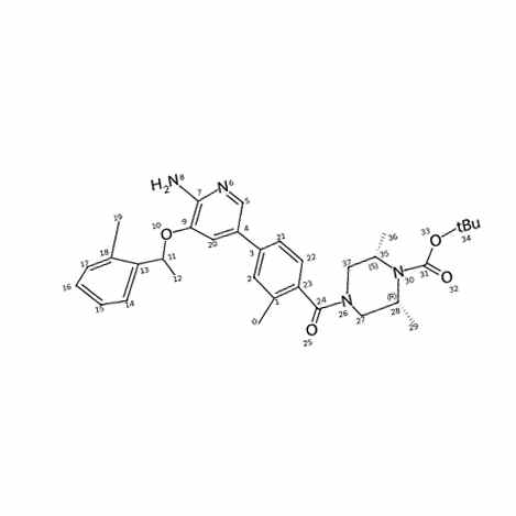 Cc1cc(-c2cnc(N)c(OC(C)c3ccccc3C)c2)ccc1C(=O)N1C[C@@H](C)N(C(=O)OC(C)(C)C)[C@@H](C)C1